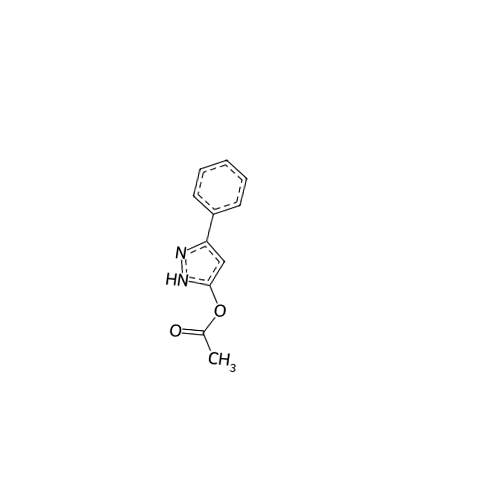 CC(=O)Oc1cc(-c2ccccc2)n[nH]1